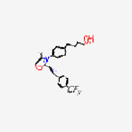 [CH2]C1=COC(/C=C/c2ccc(C(F)(F)F)cc2)N1c1ccc(CCCCO)cc1